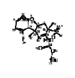 CO[C@H]1C[C@](C)(S(C)(=O)=O)C(NC(=O)OC(C)(C)C)=N[C@]1(C)C1CC=CC=C1F